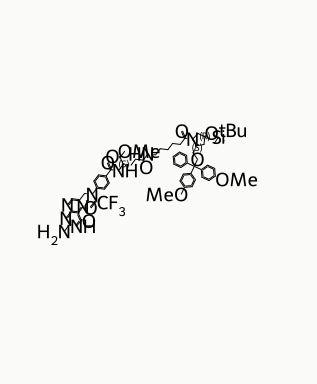 COC(=O)[C@H](CCC(=O)NCCCCCC(=O)N1C[C@H](O[Si](C)(C)C(C)(C)C)C[C@H]1COC(c1ccccc1)(c1ccc(OC)cc1)c1ccc(OC)cc1)NC(=O)c1ccc(N(Cc2cnc3nc(N)[nH]c(=O)c3n2)C(=O)C(F)(F)F)cc1